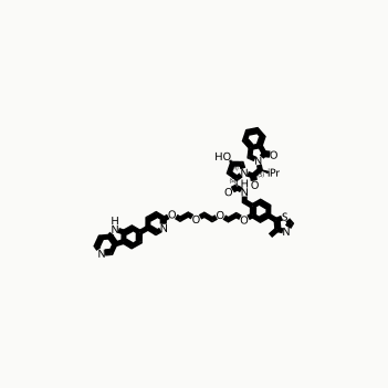 Cc1ncsc1-c1ccc(CNC(=O)[C@@H]2C[C@@H](O)CN2C(=O)[C@H](C(C)C)N2Cc3ccccc3C2=O)c(OCCOCCOCCOc2ccc(-c3ccc4c(c3)[nH]c3ccncc34)cn2)c1